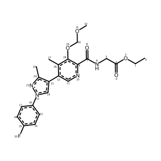 CCOC(=O)CNC(=O)c1ncc(-c2cn(-c3ccc(F)cc3)nc2C)c(C)c1OCOC